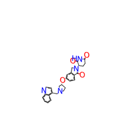 O=C1CCC(N2Cc3cc(O[C@@H]4CCN(Cc5ccnc6ccccc56)C4)ccc3C2=O)C(=O)N1